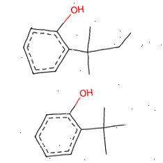 CC(C)(C)c1ccccc1O.CCC(C)(C)c1ccccc1O